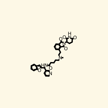 CN(CCCCC(=O)NC(c1cccnc1)c1cc2ccccc2o1)CCc1cccc2c1C(=O)N(C1CCC(=O)NC1=O)C2=O